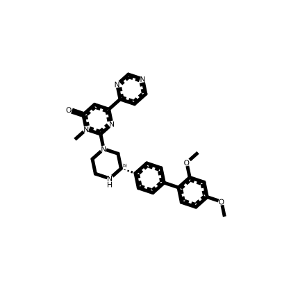 COc1ccc(-c2ccc([C@H]3CN(c4nc(-c5ccncn5)cc(=O)n4C)CCN3)cc2)c(OC)c1